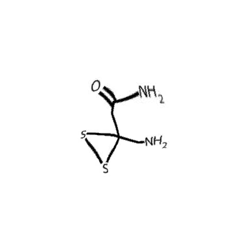 NC(=O)C1(N)SS1